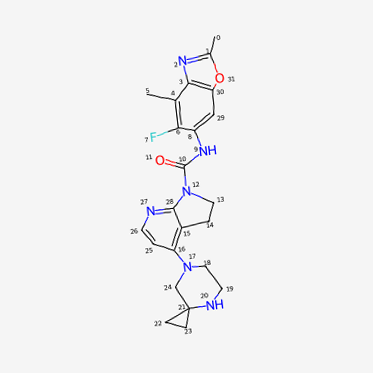 Cc1nc2c(C)c(F)c(NC(=O)N3CCc4c(N5CCNC6(CC6)C5)ccnc43)cc2o1